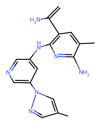 C=C(N)c1cc(C)c(N)nc1Nc1cncc(-n2cc(C)cn2)c1